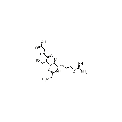 N=C(N)NCCC[C@H](NC(=O)CN)C(=O)N[C@@H](CO)C(=O)NCC(=O)O